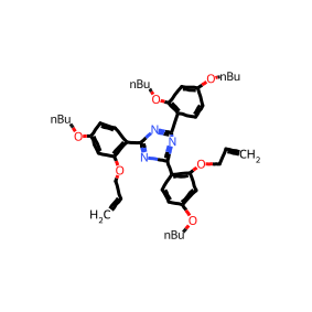 C=CCOc1cc(OCCCC)ccc1-c1nc(-c2ccc(OCCCC)cc2OCC=C)nc(-c2ccc(OCCCC)cc2OCCCC)n1